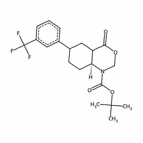 CC(C)(C)OC(=O)N1COC(=O)C2CC(c3cccc(C(F)(F)F)c3)CC[C@@H]21